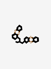 CCC(Cc1ccc2c(c1)Sc1ccccc1S2)Cc1cccc2c1Sc1ccccc1S2